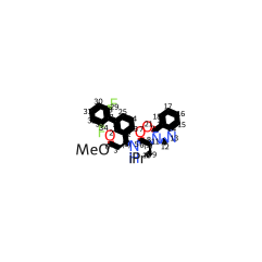 COC(=O)C[C@H](NC(=O)[C@H](CC(C)C)n1cnc2ccccc2c1=O)c1cccc(-c2c(F)cccc2F)c1